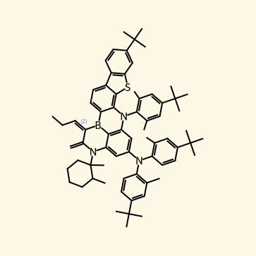 C=C1/C(=C\CC)B2c3ccc4c(sc5cc(C(C)(C)C)ccc54)c3N(c3c(C)cc(C(C)(C)C)cc3C)c3cc(N(c4ccc(C(C)(C)C)cc4C)c4ccc(C(C)(C)C)cc4C)cc(c32)N1C1(C)CCCCC1C